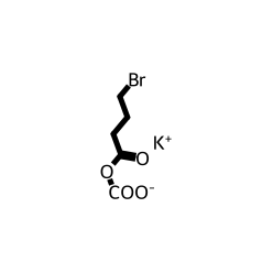 O=C([O-])OC(=O)CCCBr.[K+]